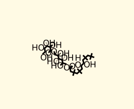 CC(C)(C)CC(C)(C)CC(O)C(O)CC(C)(C)CC(C)(C)CC(=O)OCC(O)[C@@H](O)[C@H](O)[C@H](O)CO[C@H]1OC(CO)[C@@H](O)[C@H](O)C1O